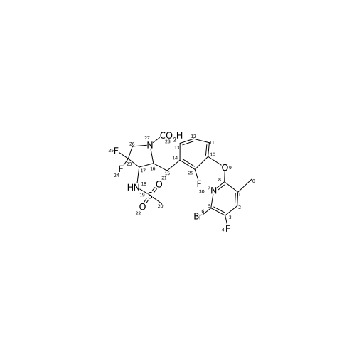 Cc1cc(F)c(Br)nc1Oc1cccc(CC2C(NS(C)(=O)=O)C(F)(F)CN2C(=O)O)c1F